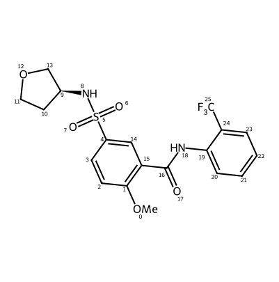 COc1ccc(S(=O)(=O)N[C@H]2CCOC2)cc1C(=O)Nc1ccccc1C(F)(F)F